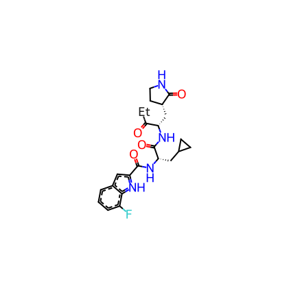 CCC(=O)[C@H](C[C@@H]1CCNC1=O)NC(=O)[C@H](CC1CC1)NC(=O)c1cc2cccc(F)c2[nH]1